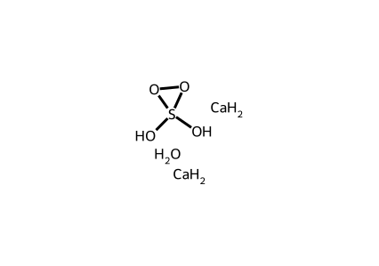 O.OS1(O)OO1.[CaH2].[CaH2]